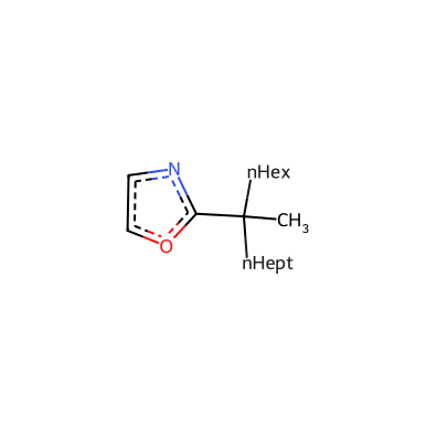 CCCCCCCC(C)(CCCCCC)c1ncco1